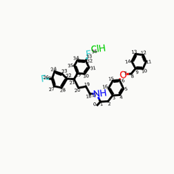 CC(Cc1ccc(OCc2ccccc2)cc1)NCCCC(c1ccc(F)cc1)c1ccc(F)cc1.Cl